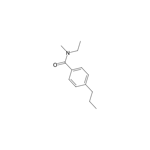 CCCc1ccc(C(=O)N(C)CC)cc1